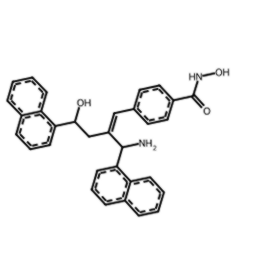 NC(C(=Cc1ccc(C(=O)NO)cc1)CC(O)c1cccc2ccccc12)c1cccc2ccccc12